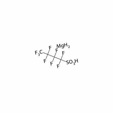 O=S(=O)(O)C(F)(F)C(F)(F)C(F)(F)C(F)(F)F.[MgH2]